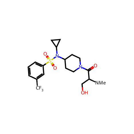 CNC(CO)C(=O)N1CCC(N(C2CC2)S(=O)(=O)c2cccc(C(F)(F)F)c2)CC1